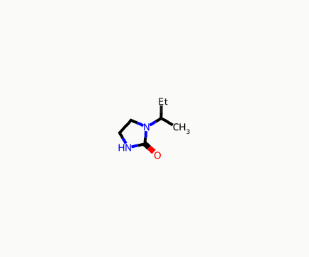 CCC(C)N1CCNC1=O